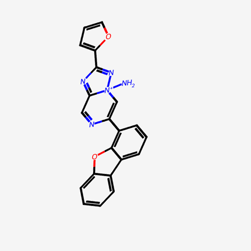 N[N+]12C=C(c3cccc4c3oc3ccccc34)N=CC1=NC(c1ccco1)=N2